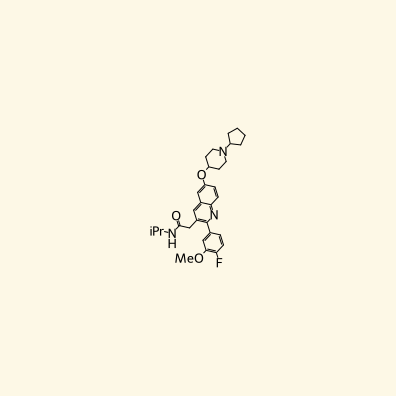 COc1cc(-c2nc3ccc(OC4CCN(C5CCCC5)CC4)cc3cc2CC(=O)NC(C)C)ccc1F